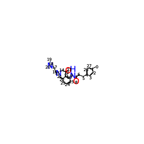 Cc1ccc(CCC(=O)NC2=C3C(=O)CN(CCN(C)C)C=C3CC=C2)cc1